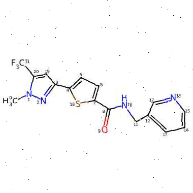 Cn1nc(-c2ccc(C(=O)NCc3cccnc3)s2)cc1C(F)(F)F